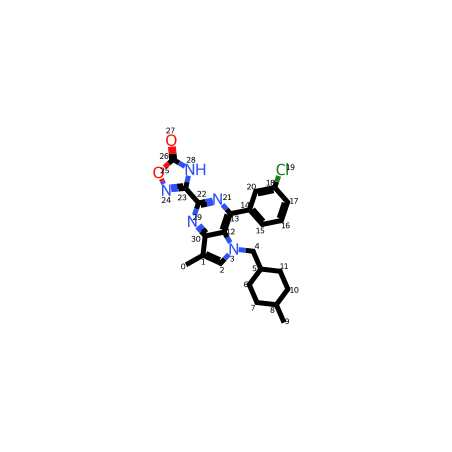 Cc1cn(CC2CCC(C)CC2)c2c(-c3cccc(Cl)c3)nc(-c3noc(=O)[nH]3)nc12